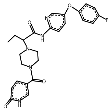 CCC(C(=O)Nc1ccc(Oc2ccc(F)cc2)cn1)N1CCN(C(=O)c2ccc(=O)[nH]c2)CC1